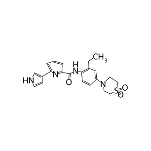 CCc1cc(N2CCS(=O)(=O)CC2)ccc1NC(=O)c1cccc(-c2cc[nH]c2)n1